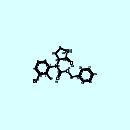 Cc1c(Br)cccc1N(C(=O)OCc1ccccc1)C1CCNC1=O